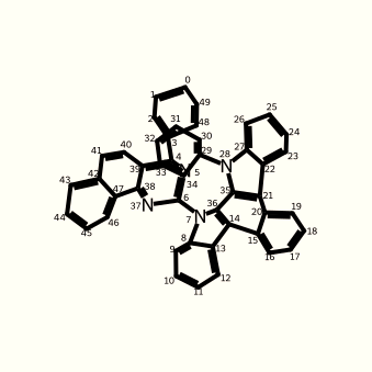 c1ccc(-c2nc(-n3c4ccccc4c4c5ccccc5c5c6ccccc6n(-c6ccccc6)c5c43)nc3c2ccc2ccccc23)cc1